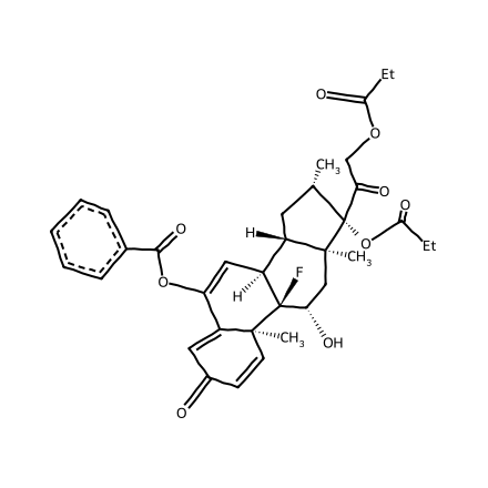 CCC(=O)OCC(=O)[C@]1(OC(=O)CC)[C@@H](C)C[C@H]2[C@@H]3C=C(OC(=O)c4ccccc4)C4=CC(=O)C=C[C@]4(C)[C@@]3(F)[C@@H](O)C[C@@]21C